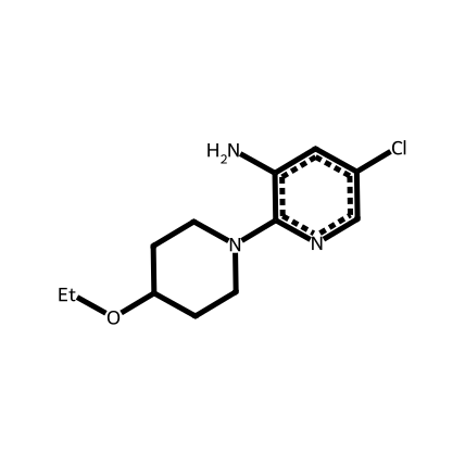 CCOC1CCN(c2ncc(Cl)cc2N)CC1